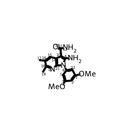 COc1cc(OC)cc(-n2c(N)c(C(N)=O)c3cc(C)c(C)nc32)c1